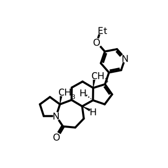 CCOc1cncc(C2=CC[C@H]3[C@@H]4CCC(=O)N5CCC[C@]5(C)C4CC[C@]23C)c1